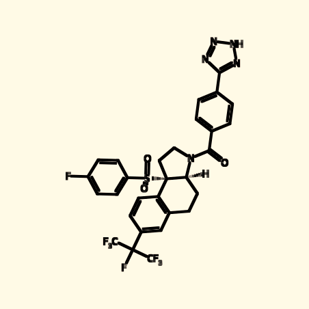 O=C(c1ccc(-c2nn[nH]n2)cc1)N1CC[C@]2(S(=O)(=O)c3ccc(F)cc3)c3ccc(C(F)(C(F)(F)F)C(F)(F)F)cc3CC[C@H]12